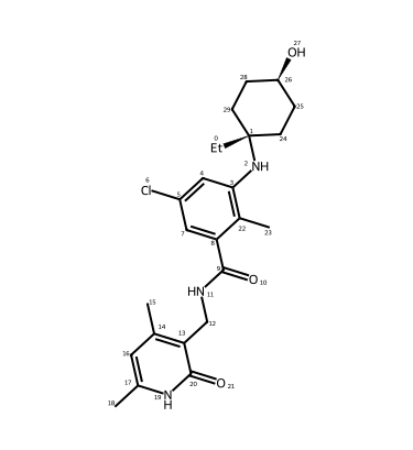 CC[C@]1(Nc2cc(Cl)cc(C(=O)NCc3c(C)cc(C)[nH]c3=O)c2C)CC[C@H](O)CC1